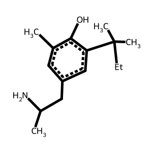 CCC(C)(C)c1cc(CC(C)N)cc(C)c1O